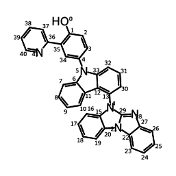 Oc1ccc(-n2c3ccccc3c3c(-n4c5ccccc5n5c6ccccc6nc45)cccc32)cc1-c1ccccn1